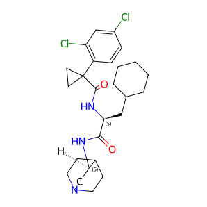 O=C(N[C@@H]1CN2CCC1CC2)[C@H](CC1CCCCC1)NC(=O)C1(c2ccc(Cl)cc2Cl)CC1